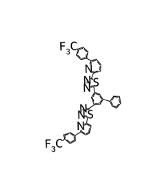 FC(F)(F)c1ccc(-c2cccc(-c3nnc(-c4cc(-c5ccccc5)cc(-c5nnc(-c6cccc(-c7ccc(C(F)(F)F)cc7)n6)s5)c4)s3)n2)cc1